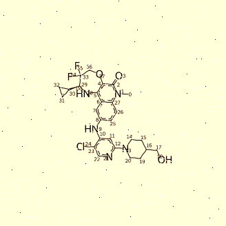 Cn1c(=O)c2c(c3cc(Nc4cc(N5CCC(CO)CC5)ncc4Cl)ccc31)N[C@@H](C1CC1)C(F)(F)CO2